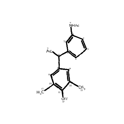 CC(=O)Nc1cccc(C(C(C)=O)c2cc(C)c(O)c(C)c2)c1